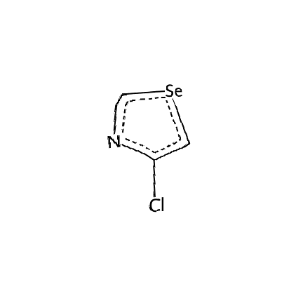 Clc1c[se]cn1